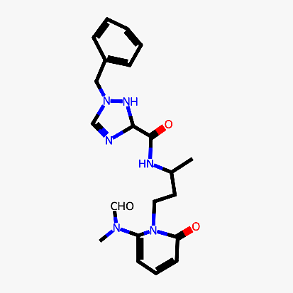 CC(CCn1c(N(C)C=O)cccc1=O)NC(=O)C1N=CN(Cc2ccccc2)N1